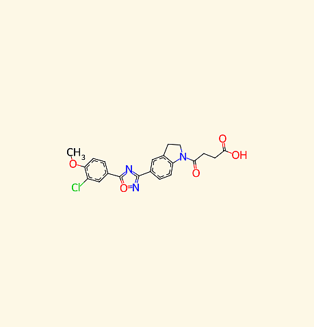 COc1ccc(-c2nc(-c3ccc4c(c3)CCN4C(=O)CCC(=O)O)no2)cc1Cl